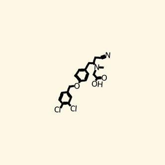 CN(CC(=O)O)C(CC#N)Cc1ccc(OCc2ccc(Cl)c(Cl)c2)cc1